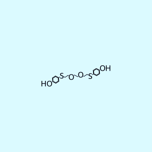 Oc1ccc(SCCOCCOCCSc2ccc(O)cc2)cc1